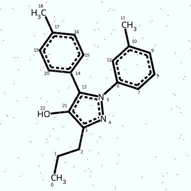 CCCc1nn(-c2cccc(C)c2)c(-c2ccc(C)cc2)c1O